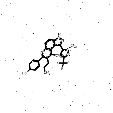 CCCc1c(C2=CCC(O)C=C2)nc2ccc3[nH]nc(-c4cc(C(F)(F)F)nn4C)c3c2c1C